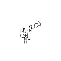 O=C(Cc1ccc2[nH]ccc2c1)N1CCC(n2c(=O)[nH]c3cccc(C(F)(F)F)c32)CC1